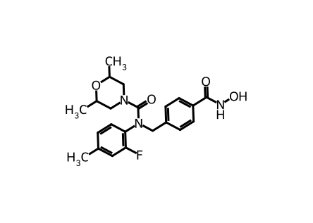 Cc1ccc(N(Cc2ccc(C(=O)NO)cc2)C(=O)N2CC(C)OC(C)C2)c(F)c1